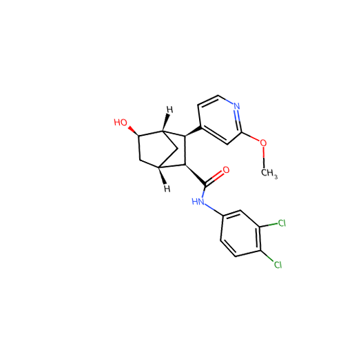 COc1cc([C@@H]2[C@@H]3C[C@@H](C[C@H]3O)[C@@H]2C(=O)Nc2ccc(Cl)c(Cl)c2)ccn1